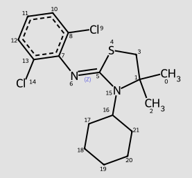 CC1(C)CS/C(=N\c2c(Cl)cccc2Cl)N1C1CCCCC1